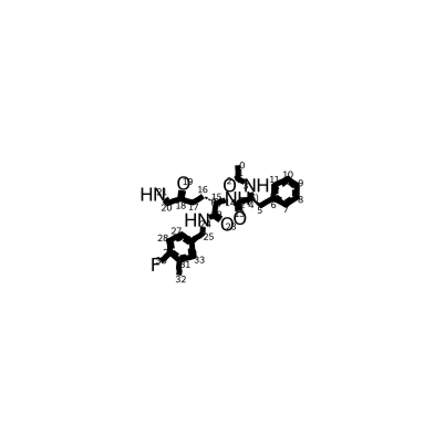 CC(=O)N[C@@H](Cc1ccccc1)C(=O)N[C@@H](CCC(=O)C=N)C(=O)NCc1ccc(F)c(C)c1